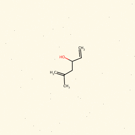 C=CC(O)CC(=C)C